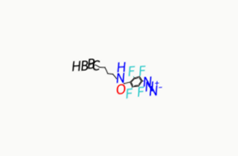 B=BCCCCCCNC(=O)c1c(F)c(F)c(N=[N+]=[N-])c(F)c1F